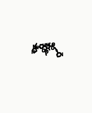 CCOC(=O)C1=C(c2ccc(-n3c(C)nc4cnccc43)cc2)NC(C)=C(C(=O)OCC#Cc2cccnc2)C1C